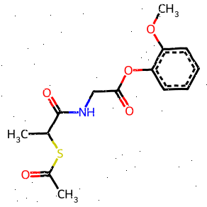 COc1ccccc1OC(=O)CNC(=O)C(C)SC(C)=O